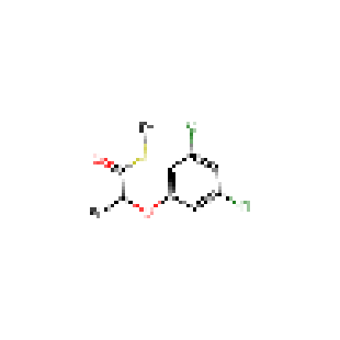 CCSC(=O)C(CC)Oc1cc(Cl)cc(Cl)c1